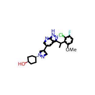 COc1ccc(F)c(Cl)c1C(C)c1n[nH]c2ncc(-c3cnn([C@H]4CC[C@H](O)CC4)c3)cc12